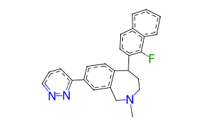 CN1CCC(c2ccc3ccccc3c2F)c2ccc(-c3cccnn3)cc2C1